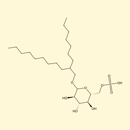 CCCCCCCCCC(CCCCCCC)COC1O[C@H](COS(=O)(=O)O)[C@@H](O)[C@H](O)[C@H]1O